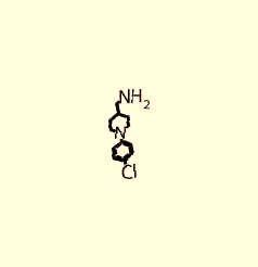 NCC1CCN(c2ccc(Cl)cc2)CC1